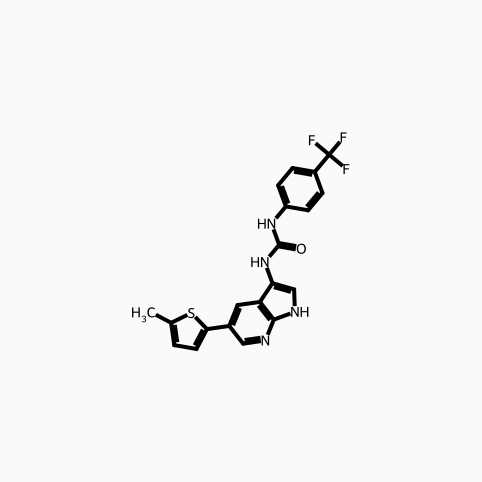 Cc1ccc(-c2cnc3[nH]cc(NC(=O)Nc4ccc(C(F)(F)F)cc4)c3c2)s1